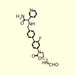 NC(=O)C(NCc1ccc(-c2ccc(N3C[C@H](CNC=O)OC3=O)cc2F)cc1)c1cccnc1